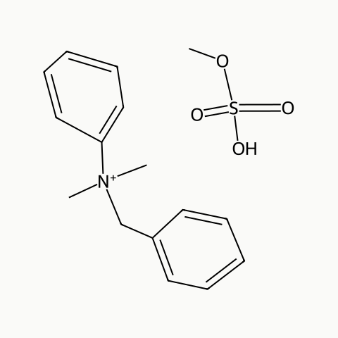 COS(=O)(=O)O.C[N+](C)(Cc1ccccc1)c1ccccc1